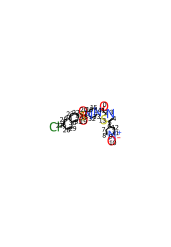 O=C(c1ncc(-c2cc[n+]([O-])cc2)s1)N1CCN(S(=O)(=O)c2ccc3cc(Cl)ccc3c2)CC1